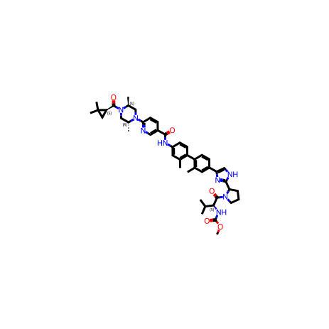 COC(=O)N[C@H](C(=O)N1CCCC1c1nc(-c2ccc(-c3ccc(NC(=O)c4ccc(N5C[C@H](C)N(C(=O)[C@H]6CC6(C)C)C[C@H]5C)nc4)cc3C)c(C)c2)c[nH]1)C(C)C